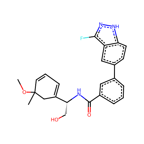 COC1(C)C=CC=C([C@@H](CO)NC(=O)c2cccc(-c3ccc4[nH]nc(F)c4c3)c2)C1